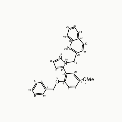 COc1ccc(OCc2ccccc2)c(-c2ccnn2Cc2ccc3ccccc3n2)c1